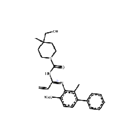 C=C/C(=N\c1c(OC)ccc(-c2ccccc2)c1C)NC(=O)N1CCC(C)(CO)CC1